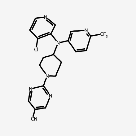 N#Cc1cnc(N2CCC(N(c3ccc(C(F)(F)F)nc3)c3cnccc3Cl)CC2)nc1